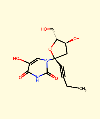 CCC#C[C@]1(n2cc(O)c(=O)[nH]c2=O)C[C@H](O)[C@@H](CO)O1